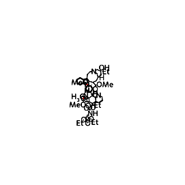 CCOP(=O)(CNC(=O)O[C@@H]1[C@]2(CC)C=CCN3CC[C@@]4(c5cc([C@@]6(C(=O)OC)C[C@H]7CN(CCc8c6[nH]c6ccccc86)C[C@](O)(CC)C7)c(OC)cc5N(C)[C@H]4[C@@]1(O)C(=O)OC)[C@@H]32)OCC